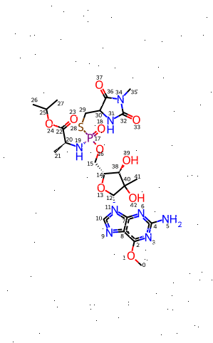 COc1nc(N)nc2c1ncn2[C@@H]1O[C@H](CO[P@@](=O)(N[C@@H](C)C(=O)OC(C)C)SCC2NC(=O)N(C)C2=O)[C@@H](O)C1(C)O